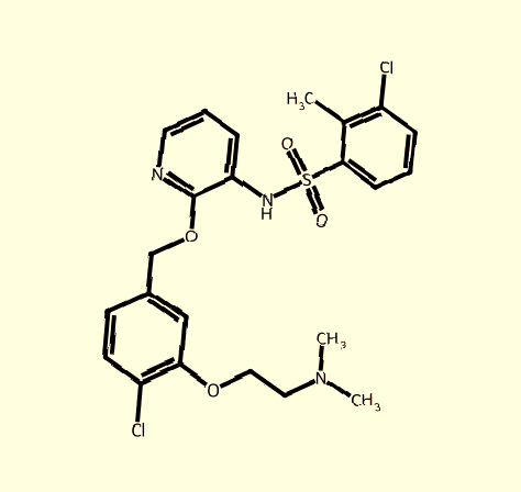 Cc1c(Cl)cccc1S(=O)(=O)Nc1cccnc1OCc1ccc(Cl)c(OCCN(C)C)c1